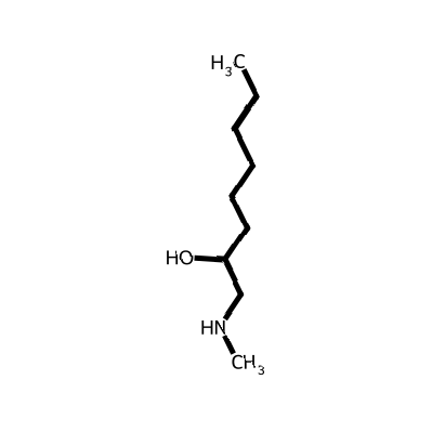 CCCCCCC(O)CNC